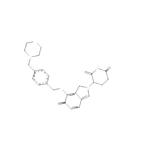 O=C1CCC(N2C=C3C=CC(=O)C(OCc4ccc(CN5CCOCC5)cc4)=C3C2)C(=O)N1